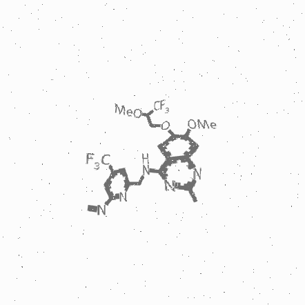 C=Nc1cc(C(F)(F)F)cc(CNc2nc(C)nc3cc(OC)c(OCC(OC)C(F)(F)F)cc23)n1